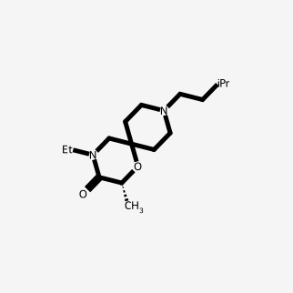 CCN1CC2(CCN(CCC(C)C)CC2)O[C@H](C)C1=O